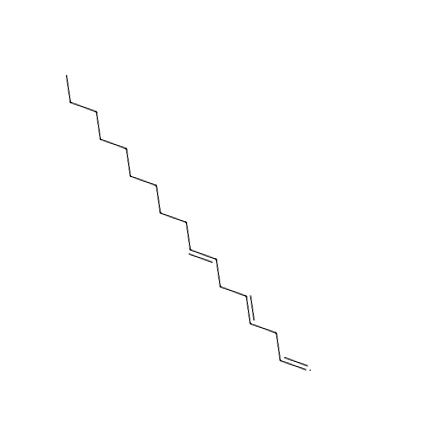 [CH]=CCC=CCC=CCCCCCCCCC